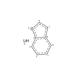 [LiH].c1ccc2occc2c1